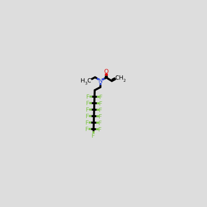 C=CC(=O)N(CC)CCC(F)(F)C(F)(F)C(F)(F)C(F)(F)C(F)(F)C(F)(F)F